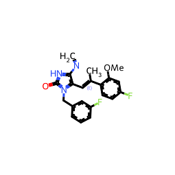 C=Nc1[nH]c(=O)n(Cc2cccc(F)c2)c1/C=C(\C)c1ccc(F)cc1OC